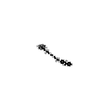 O=C(CCOCCOCCNC(=O)COc1ccc2c(c1)OCC(c1ccc(F)cc1)C2=O)NCCCC(O)(P(=O)(O)O)P(=O)(O)O